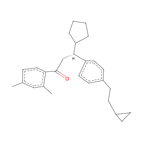 Cc1ccc(C(=O)C[C@@H](c2ccc(CCC3CC3)cc2)C2CCCC2)c(C)c1